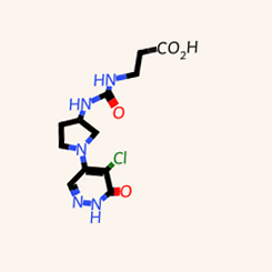 O=C(O)CCNC(=O)NC1CCN(c2cn[nH]c(=O)c2Cl)C1